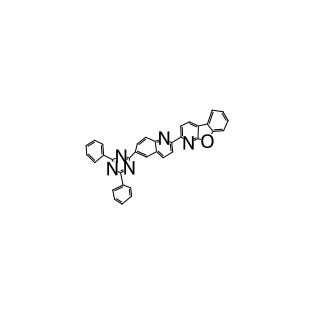 c1ccc(-c2nc(-c3ccccc3)nc(-c3ccc4nc(-c5ccc6c(n5)oc5ccccc56)ccc4c3)n2)cc1